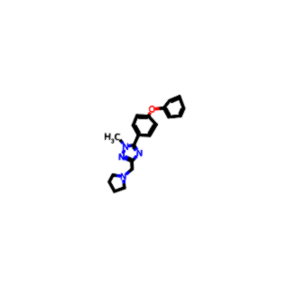 Cn1nc(CN2CCCC2)nc1-c1ccc(Oc2ccccc2)cc1